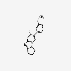 CSc1cncc(-c2cc3c(cc2F)nc2n3CCC2)c1